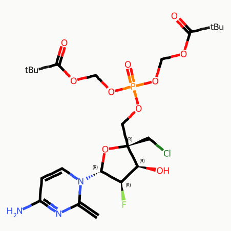 C=C1N=C(N)C=CN1[C@@H]1O[C@](CCl)(COP(=O)(OCOC(=O)C(C)(C)C)OCOC(=O)C(C)(C)C)[C@@H](O)[C@H]1F